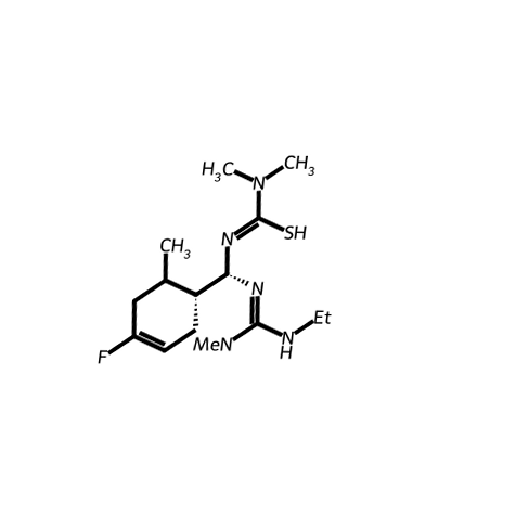 CCN/C(=N/[C@@H](/N=C(\S)N(C)C)[C@@H]1CC=C(F)CC1C)NC